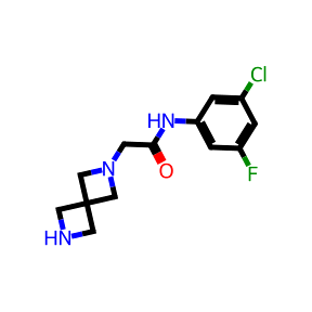 O=C(CN1CC2(CNC2)C1)Nc1cc(F)cc(Cl)c1